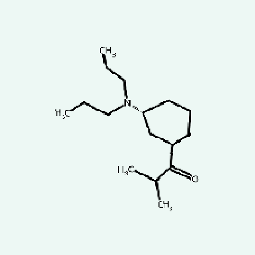 CCCN(CCC)[C@@H]1CCCC(C(=O)C(C)C)C1